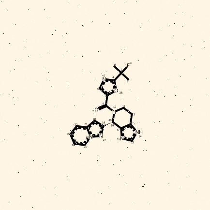 CC(C)(F)c1ncc(C(=O)N2CCc3[nH]cnc3[C@@H]2c2cc3ccccn3n2)o1